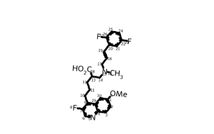 COc1ccc2ncc(F)c(CCCC(CN(C)CC=Cc3cc(F)ccc3F)C(=O)O)c2c1